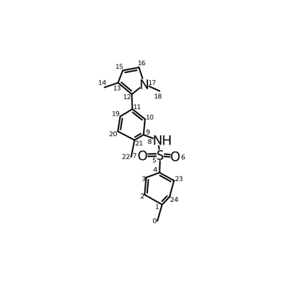 Cc1ccc(S(=O)(=O)Nc2cc(-c3c(C)ccn3C)ccc2C)cc1